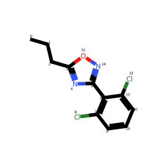 CCCc1nc(-c2c(Cl)cccc2Cl)no1